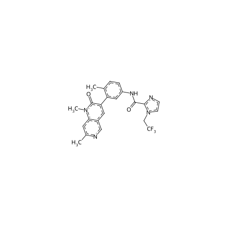 Cc1cc2c(cn1)cc(-c1cc(NC(=O)c3nccn3CC(F)(F)F)ccc1C)c(=O)n2C